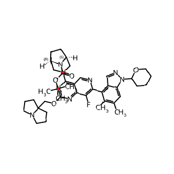 Cc1cc2c(cnn2C2CCCCO2)c(-c2ncc3c(N4C[C@H]5CC[C@@H](C4)N5C(=O)OC(C)(C)C)nc(OCC45CCCN4CCC5)nc3c2F)c1C